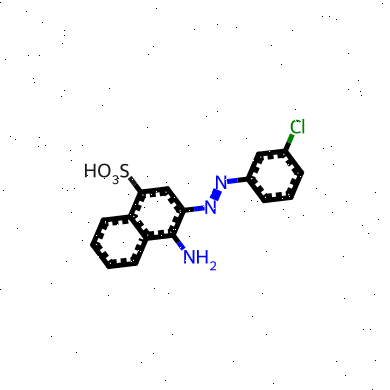 Nc1c(/N=N/c2cccc(Cl)c2)cc(S(=O)(=O)O)c2ccccc12